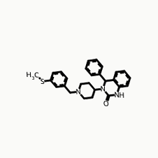 CSc1cccc(CN2CCC(N3C(=O)Nc4ccccc4C3c3ccccc3)CC2)c1